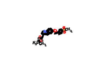 CC(C)(C)OC(=O)CC1CCn2c1cc1cc(OCc3ccc(S(C)(=O)=O)cc3)ccc12